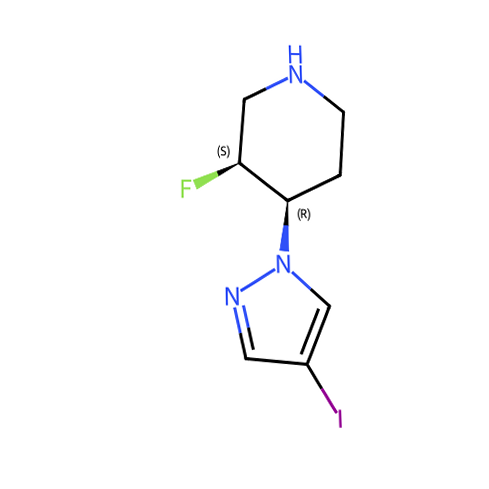 F[C@H]1CNCC[C@H]1n1cc(I)cn1